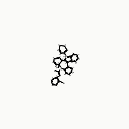 C/C(=C\c1ccccc1I)N1c2ccccc2-c2c(n(C3=CCCC=C3)c3ccccc23)C2C=CC=CC21C